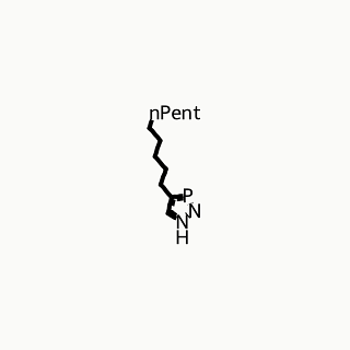 CCCCCCCCCCc1c[nH]np1